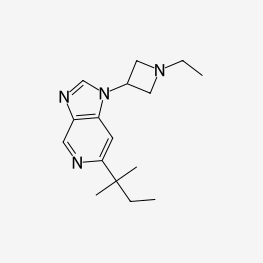 CCN1CC(n2cnc3cnc(C(C)(C)CC)cc32)C1